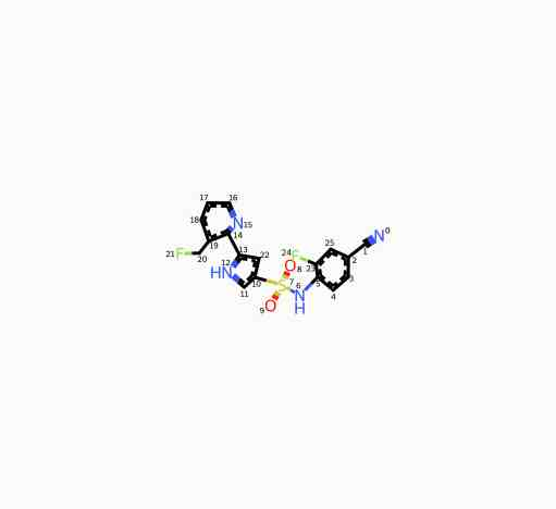 N#Cc1ccc(NS(=O)(=O)c2c[nH]c(-c3ncccc3CF)c2)c(F)c1